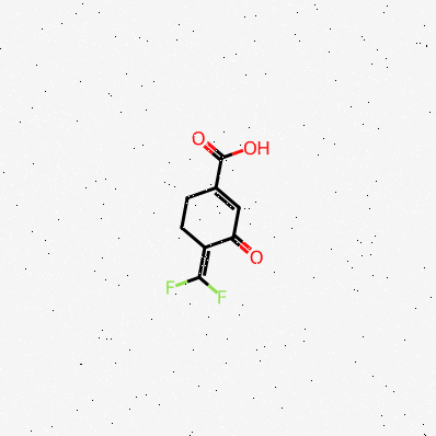 O=C(O)C1=CC(=O)C(=C(F)F)CC1